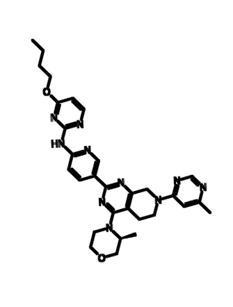 CCCCOc1ccnc(Nc2ccc(-c3nc4c(c(N5CCOC[C@@H]5C)n3)CCN(c3cc(C)ncn3)C4)cn2)n1